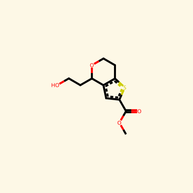 COC(=O)c1cc2c(s1)CCOC2CCO